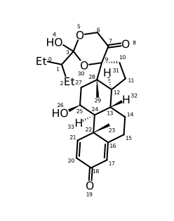 CCC(CC)C1(O)OCC(=O)[C@]2(CC[C@H]3[C@@H]4CCC5=CC(=O)C=C[C@]5(C)[C@H]4[C@@H](O)C[C@@]32C)O1